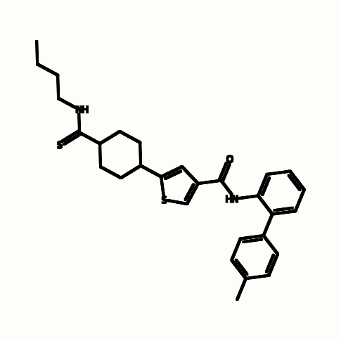 CCCCNC(=S)C1CCC(c2cc(C(=O)Nc3ccccc3-c3ccc(C)cc3)cs2)CC1